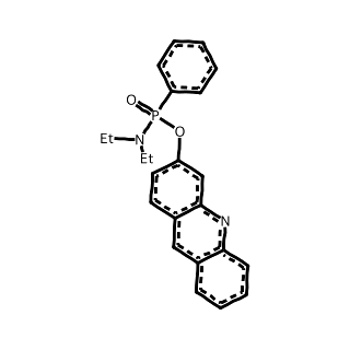 CCN(CC)P(=O)(Oc1ccc2cc3ccccc3nc2c1)c1ccccc1